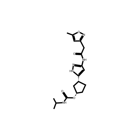 Cc1cc(CC(=O)Nc2cc([C@@H]3CC[C@H](OC(=O)NC(C)C)C3)[nH]n2)no1